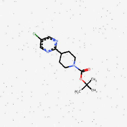 CC(C)(C)OC(=O)N1CCC(c2ncc(Cl)cn2)CC1